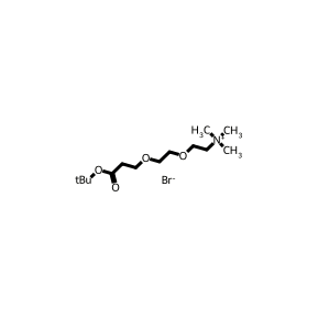 CC(C)(C)OC(=O)CCOCCOCC[N+](C)(C)C.[Br-]